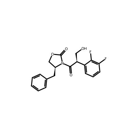 O=C1OC[C@H](Cc2ccccc2)N1C(=O)[C@@H](CO)c1cccc(F)c1F